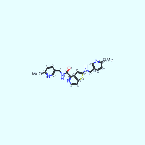 COc1ccc(CNC(=O)c2nccc3sc(NCc4ccc(OC)nc4)cc23)cn1